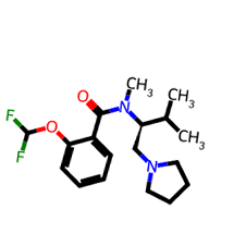 CC(C)[C@@H](CN1CCCC1)N(C)C(=O)c1ccccc1OC(F)F